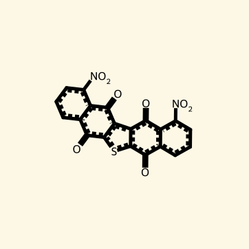 O=c1c2cccc([N+](=O)[O-])c2c(=O)c2c1sc1c(=O)c3cccc([N+](=O)[O-])c3c(=O)c12